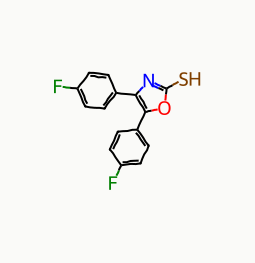 Fc1ccc(-c2nc(S)oc2-c2ccc(F)cc2)cc1